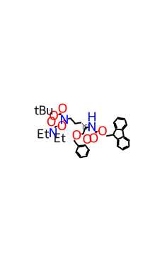 CCN(CC)C(=O)ON(CCC[C@H](NC(=O)OCC1c2ccccc2-c2ccccc21)C(=O)OCc1ccccc1)C(=O)OC(C)(C)C